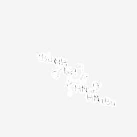 C/C=C(NC(=O)NC(C)(C)C)\C(=C/C)NC(=O)NC(C)(C)C